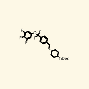 CCCCCCCCCC[C@H]1CC[C@H](CCc2ccc(C(F)(F)Oc3cc(F)c(F)c(F)c3)cc2)CC1